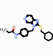 CCC(=O)Nc1ccc(Cn2c(SCC3CCCCC3)nc3ccncc32)cc1